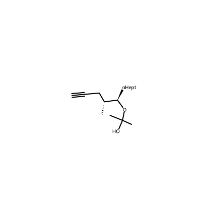 C#CC[C@@H](C)[C@@H](CCCCCCC)OC(C)(C)O